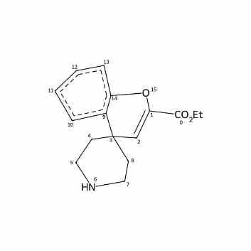 CCOC(=O)C1=CC2(CCNCC2)c2ccccc2O1